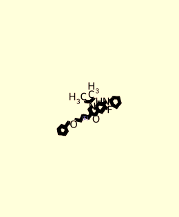 CCC(CC)n1cc(/C=C/CCOCc2ccccc2)c(=O)c2cc(F)c(NC3CCCCC3)cc21